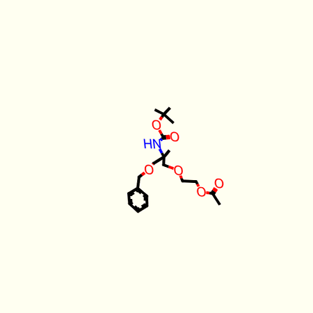 CC(=O)OCCOCC(C)(COCc1ccccc1)NC(=O)OC(C)(C)C